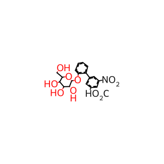 O=C(O)c1cc(-c2ccccc2OC2OC(CO)C(O)C(O)C2O)cc([N+](=O)[O-])c1